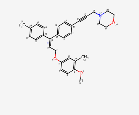 CCOc1ccc(OC/C=C(\c2ccc(C#CCN3CCOCC3)cc2)c2ccc(C(F)(F)F)cc2)cc1C